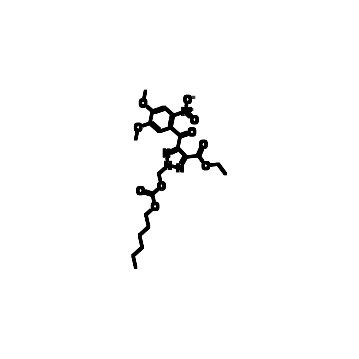 CCCCCCOC(=O)OCn1nc(C(=O)OCC)c(C(=O)c2cc(OC)c(OC)cc2[N+](=O)[O-])n1